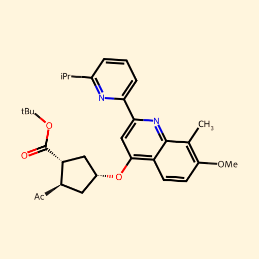 COc1ccc2c(O[C@@H]3C[C@@H](C(C)=O)[C@H](C(=O)OC(C)(C)C)C3)cc(-c3cccc(C(C)C)n3)nc2c1C